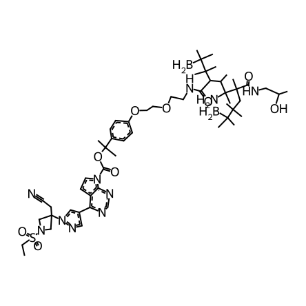 BC(C)(C)C(C)(C)CC(C)(C(=O)NCC(C)O)C(C)(N)C(C)C(C(=O)NCCOCCOc1ccc(C(C)(C)OC(=O)n2ccc3c(-c4cnn(C5(CC#N)CN(S(=O)(=O)CC)C5)c4)ncnc32)cc1)C(C)(C)C(B)(C)C